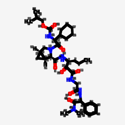 CCC[C@H](NC(=O)[C@@H]1[C@H]2C[C@H]2CN1C(=O)[C@@H](NC(=O)OCC(C)C)C1CCCCC1)C(=O)C(=O)NCC(=O)NC(C(=O)N(C)C)c1ccccc1